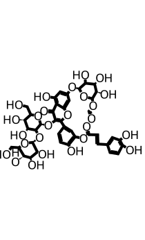 O=COC1O[C@@H](Oc2cc(O)c3c(=O)c(O[C@@H]4OC(CO)[C@@H](O)[C@H](O)C4O[C@@H]4OC(CO)[C@@H](O)[C@H](O)C4O)c(-c4ccc(O)c(OC(=O)/C=C/c5ccc(O)c(O)c5)c4)oc3c2)C(O)[C@@H](O)[C@@H]1O